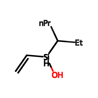 C=C[SiH](O)C(CC)CCC